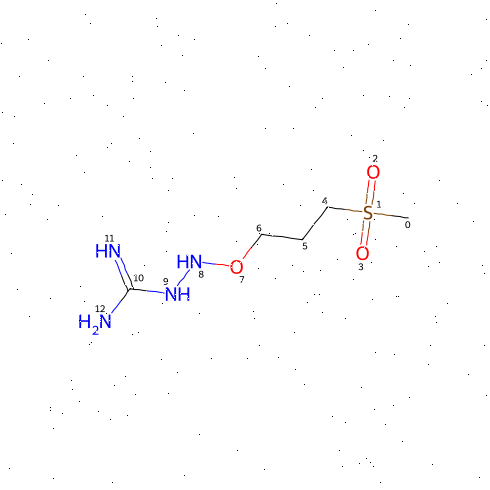 CS(=O)(=O)CCCONNC(=N)N